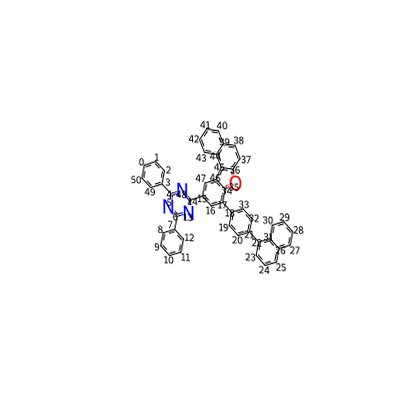 c1ccc(-c2nc(-c3ccccc3)nc(-c3cc(-c4ccc(-c5cccc6ccccc56)cc4)c4oc5ccc6ccccc6c5c4c3)n2)cc1